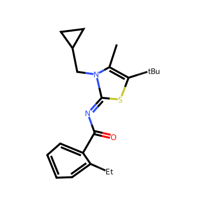 CCc1ccccc1C(=O)/N=c1\sc(C(C)(C)C)c(C)n1CC1CC1